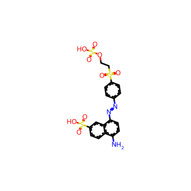 Nc1ccc(/N=N/c2ccc(S(=O)(=O)CCOS(=O)(=O)O)cc2)c2cc(S(=O)(=O)O)ccc12